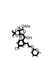 CO[C@@H]1O[C@H]([C@H](O)c2ccc(Cl)cc2CCOC2CCCCO2)[C@H]2OC(C)(C)O[C@@H]12